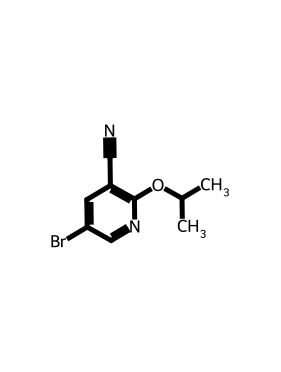 CC(C)Oc1ncc(Br)cc1C#N